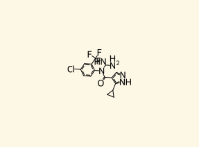 N=C(N)N(C(=O)c1cn[nH]c1C1CC1)c1ccc(Cl)cc1C(F)(F)F